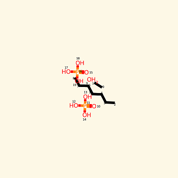 CC.CCCCCCC.O.O=P(O)(O)O.O=P(O)(O)O